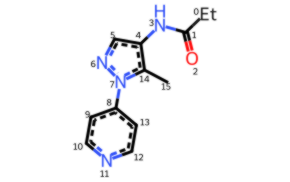 CCC(=O)Nc1cnn(-c2ccncc2)c1C